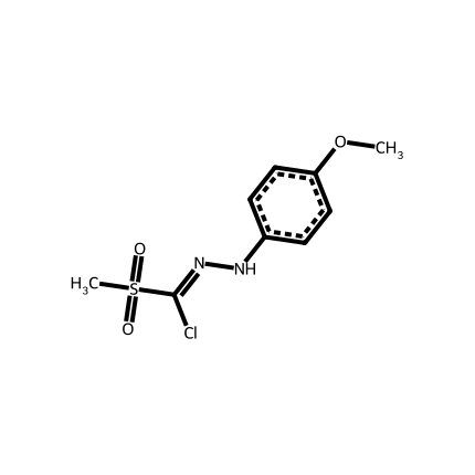 COc1ccc(NN=C(Cl)S(C)(=O)=O)cc1